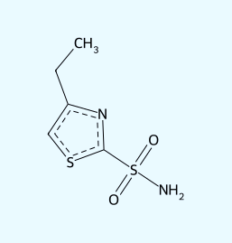 CCc1csc(S(N)(=O)=O)n1